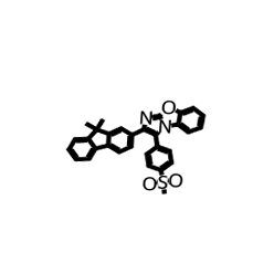 CC1(C)c2ccccc2-c2ccc(-c3nc4oc5ccccc5n4c3-c3ccc(S(C)(=O)=O)cc3)cc21